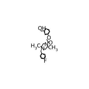 CC1CN(C(=O)COc2cccc(CO)c2)C(C)CN1Cc1ccc(F)cc1